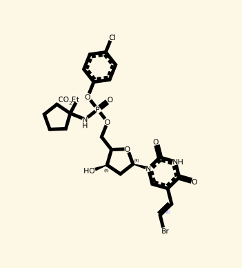 CCOC(=O)C1(NP(=O)(OCC2O[C@@H](n3cc(/C=C/Br)c(=O)[nH]c3=O)C[C@H]2O)Oc2ccc(Cl)cc2)CCCC1